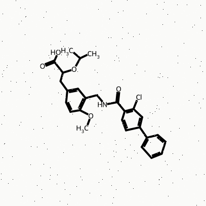 COc1ccc(CC(OC(C)C)C(=O)O)cc1CNC(=O)c1ccc(-c2ccccc2)cc1Cl